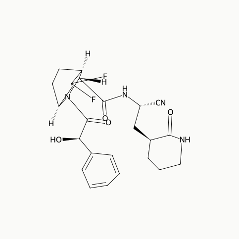 N#C[C@H](C[C@@H]1CCCNC1=O)NC(=O)[C@H]1[C@@H]2CC[C@@H](CC2(F)F)N1C(=O)[C@H](O)c1ccccc1